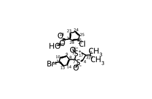 CC(C)C1C[S+]([O-])C(c2ccc(Br)cc2)[S+]([O-])C1.O=C(OO)c1cccc(Cl)c1